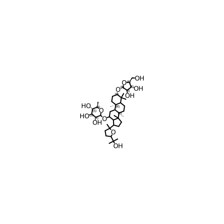 C[C@H]1OC(OC2CC3[C@@]4(C)CC[C@H](O[C@@H]5O[C@@H](CO)[C@H](O)[C@H]5O)C(C)(C)C4CC[C@@]3(C)C3(C)CCC(C4(C)CCC(C(C)(C)O)O4)C23)[C@H](O)[C@@H](O)[C@@H]1O